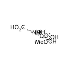 COC1C(COCC(O)CNCCCCCC(=O)O)OC(C)C(O)C1O